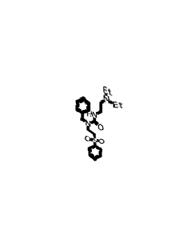 CCN(CC)CCNC(=O)N(CCS(=O)(=O)c1ccccc1)Cc1ccccc1